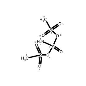 CS(=O)(=O)OP(N)(=O)OS(C)(=O)=O